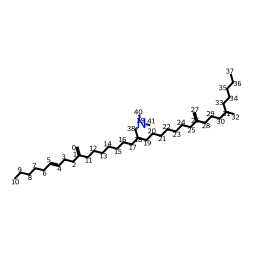 C=C(CC/C=C/CCCCC)CCCCCCCC(CCCCCCCC(=C)CCCC(C)CCCCC)CN(C)C